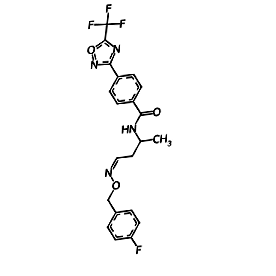 CC(C/C=N\OCc1ccc(F)cc1)NC(=O)c1ccc(-c2noc(C(F)(F)F)n2)cc1